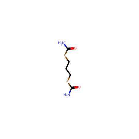 NC(=O)SCCCSC(N)=O